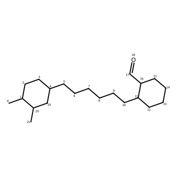 CC1CCC(CCCCCCC2CCCCC2C=O)CC1C